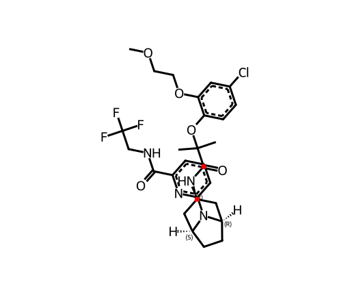 COCCOc1cc(Cl)ccc1OC(C)(C)C(=O)N[C@H]1C[C@H]2CC[C@@H](C1)N2c1cccc(C(=O)NCC(F)(F)F)n1